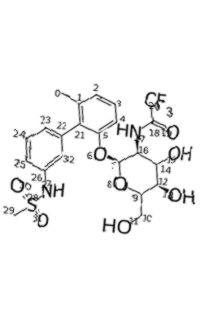 Cc1cccc(O[C@@H]2OC(CO)[C@H](O)C(O)[C@@H]2NC(=O)C(F)(F)F)c1-c1cccc(NS(C)(=O)=O)c1